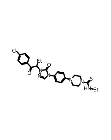 CCNC(=S)N1CCN(c2ccc(-n3cnn(C(CC)C(=O)c4ccc(Cl)cc4)c3=O)cc2)CC1